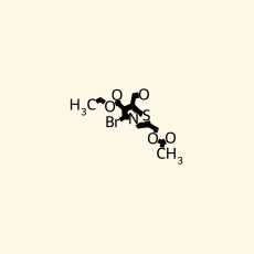 CCOC(=O)c1c(C=O)c2sc(COC(C)=O)cn2c1Br